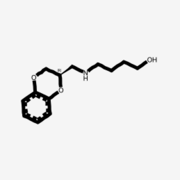 OCCCCNC[C@@H]1COc2ccccc2O1